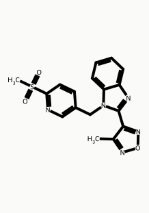 Cc1nonc1-c1nc2ccccc2n1Cc1ccc(S(C)(=O)=O)nc1